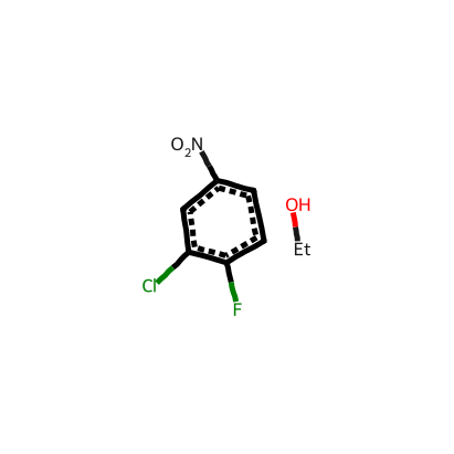 CCO.O=[N+]([O-])c1ccc(F)c(Cl)c1